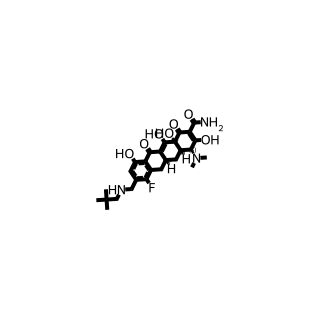 CN(C)[C@@H]1C(O)=C(C(N)=O)C(=O)[C@@]2(O)C(O)=C3C(=O)c4c(O)cc(CNCC(C)(C)C)c(F)c4C[C@H]3C[C@@H]12